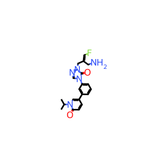 CC(C)n1cc(-c2cccc(-n3cnn(C/C(=C/F)CN)c3=O)c2)ccc1=O